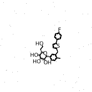 Cc1ccc([C@@H]2O[C@H](CCO)[C@@H](O)[C@H](O)[C@H]2O)cc1Cc1ccc(-c2ccc(F)cc2)s1